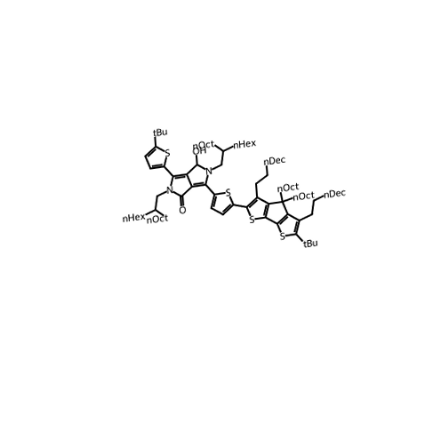 CCCCCCCCCCCCc1c(-c2ccc(C3=C4C(=O)N(CC(CCCCCC)CCCCCCCC)C(c5ccc(C(C)(C)C)s5)=C4C(O)N3CC(CCCCCC)CCCCCCCC)s2)sc2c1C(CCCCCCCC)(CCCCCCCC)c1c-2sc(C(C)(C)C)c1CCCCCCCCCCCC